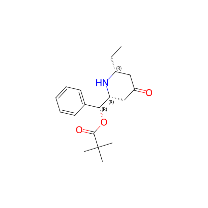 CC[C@@H]1CC(=O)C[C@H]([C@H](OC(=O)C(C)(C)C)c2ccccc2)N1